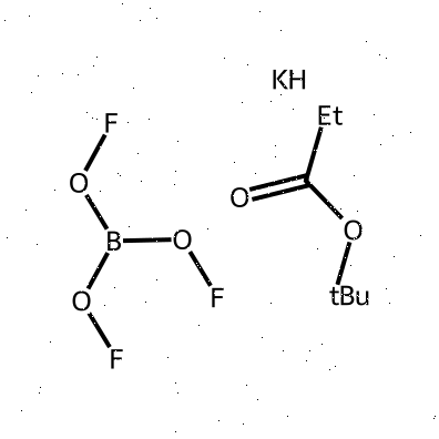 CCC(=O)OC(C)(C)C.FOB(OF)OF.[KH]